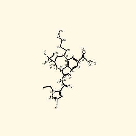 CCn1nc(C)cc1C(=O)Nc1nc2cc(C(N)=O)cc3c2n1C[C@@](C)(C(F)(F)F)CN3CCCOC